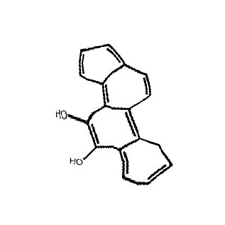 Oc1c(O)c2c3c(ccc2c2c1=CC=CC2)=CC=C3